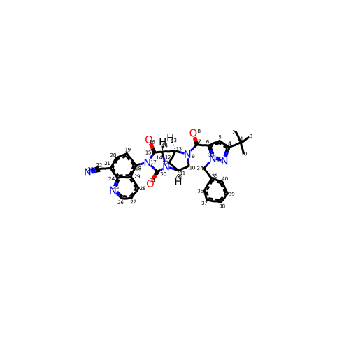 CC(C)(C)c1cc(C(=O)N2C[C@@H]3C[C@H]2[C@H]2C(=O)N(c4ccc(C#N)c5ncccc45)C(=O)N32)n(Cc2ccccc2)n1